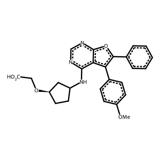 COc1ccc(-c2c(-c3ccccc3)oc3ncnc(NC4CC[C@@H](OCC(=O)O)C4)c23)cc1